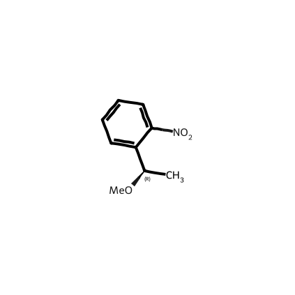 CO[C@H](C)c1ccccc1[N+](=O)[O-]